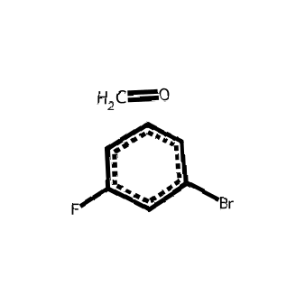 C=O.Fc1cccc(Br)c1